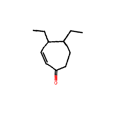 CCC1C=CC(=O)CCC1CC